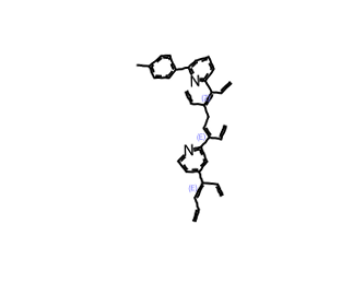 C=C/C=C(\C=C)c1ccnc(/C(C=C)=C/C/C(C=C)=C(\C=C)c2cccc(-c3ccc(C)cc3)n2)c1